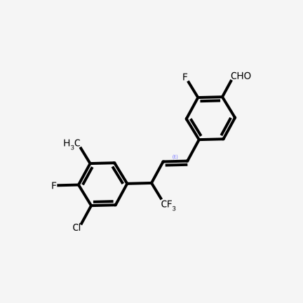 Cc1cc(C(/C=C/c2ccc(C=O)c(F)c2)C(F)(F)F)cc(Cl)c1F